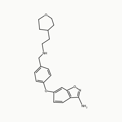 Nc1noc2cc(Oc3ccc(CNCCC4CCOCC4)cc3)ccc12